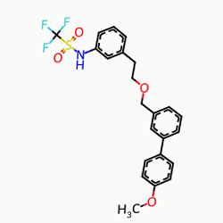 COc1ccc(-c2cccc(COCCc3cccc(NS(=O)(=O)C(F)(F)F)c3)c2)cc1